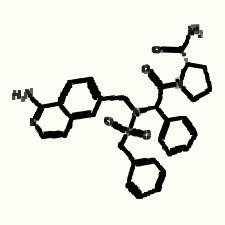 NC(=O)[C@@H]1CCCN1C(=O)[C@@H](c1ccccc1)N(Cc1ccc2c(N)nccc2c1)S(=O)(=O)Cc1ccccc1